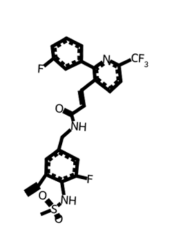 C#Cc1cc(CNC(=O)C=Cc2ccc(C(F)(F)F)nc2-c2cccc(F)c2)cc(F)c1NS(C)(=O)=O